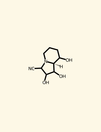 N#CC1C(O)C(O)[C@@H]2C(O)CCCN12